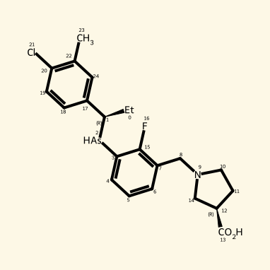 CC[C@@H]([AsH]c1cccc(CN2CC[C@@H](C(=O)O)C2)c1F)c1ccc(Cl)c(C)c1